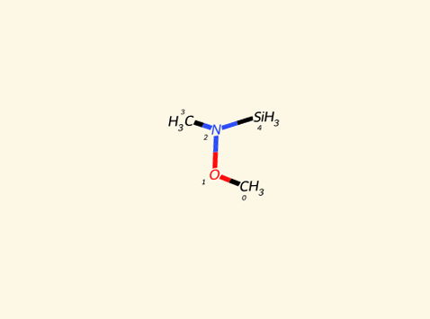 CON(C)[SiH3]